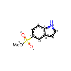 COS(=O)(=O)c1ccc2[nH]ccc2c1